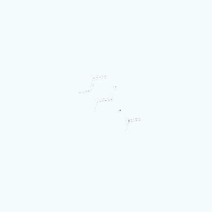 Cc1cccc(C(F)(F)C(=O)O)c1C